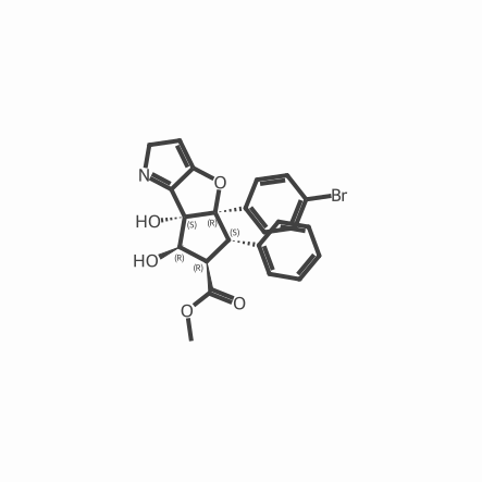 COC(=O)[C@H]1[C@@H](O)[C@@]2(O)C3=NCC=C3O[C@@]2(c2ccc(Br)cc2)[C@@H]1c1ccccc1